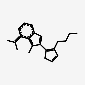 CCCCC1=C(C2=[C]c3cccc(=C(C)C)c3=C2C)CC=C1